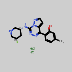 Cl.Cl.Oc1cc(C(F)(F)F)ccc1-c1nnc(N[C@H]2CNC[C@H](F)C2)n2nccc12